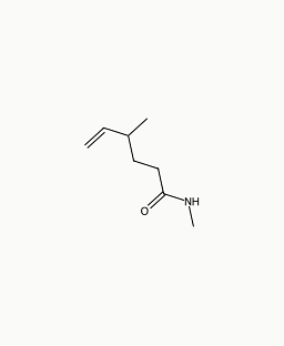 C=CC(C)CCC(=O)NC